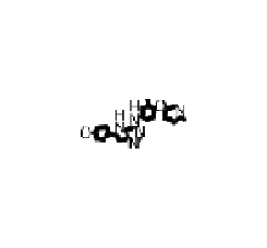 COc1ccc(-c2cc3ncnc(Nc4ccc(Oc5ccc(C)nc5)c(C)c4)c3[nH]2)cc1